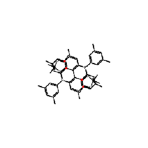 Cc1cc(C)cc(P(c2cc(C)cc(C)c2)c2cc(C)c3c(c2-c2c(P(c4cc(C)cc(C)c4)c4cc(C)cc(C)c4)cc(C)c4c2OC(C)(C)O4)OC(C)(C)O3)c1